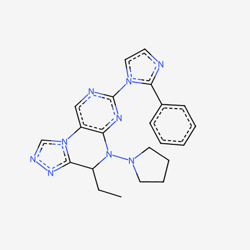 CCC1c2nncn2-c2cnc(-n3ccnc3-c3ccccc3)nc2N1N1CCCC1